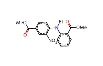 CCN(c1ccccc1C(=O)OC)c1ccc(C(=O)OC)cc1[N+](=O)[O-]